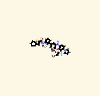 C=CC(=O)Nc1cc(Nc2cc(-c3cccc(NC(=O)c4cc5c(s4)CCCC5)c3C)cn(C)c2=O)ccc1N1CCCC1